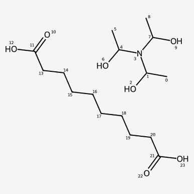 CC(O)N(C(C)O)C(C)O.O=C(O)CCCCCCCCC(=O)O